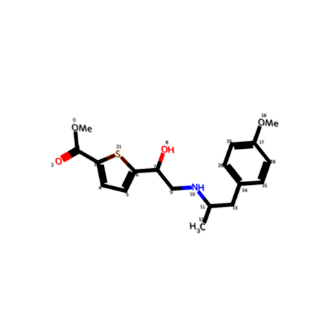 COC(=O)c1ccc(C(O)CNC(C)Cc2ccc(OC)cc2)s1